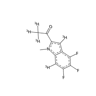 [2H]c1c(C(=O)C([2H])([2H])[2H])n(C)c2c([2H])c(F)c(F)c(F)c12